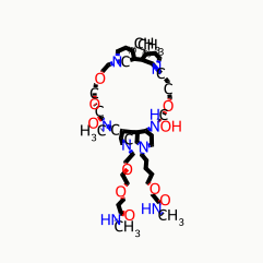 CNC(=O)CCOCCOCCN1CCC2CN(C)C(=O)COCCOCCN3CC[C@H](C)C(C3)C3CN(CCCCOCC(O)NC4CCN(CCCCCOCC(=O)NC)CC4C2C1)CC[C@H]3C